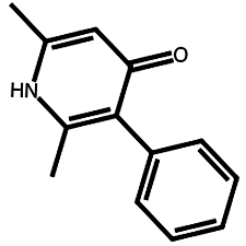 Cc1cc(=O)c(-c2ccccc2)c(C)[nH]1